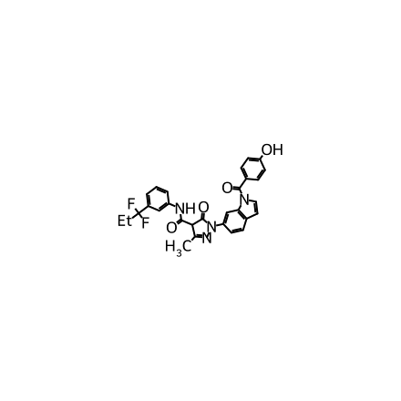 CCC(F)(F)c1cccc(NC(=O)C2C(=O)N(c3ccc4ccn(C(=O)c5ccc(O)cc5)c4c3)N=C2C)c1